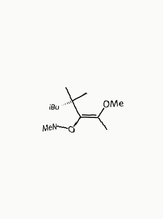 CC[C@@H](C)C(C)(C)/C(ONC)=C(/C)OC